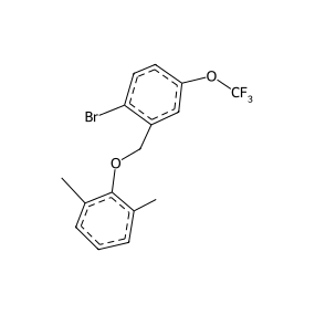 Cc1cccc(C)c1OCc1cc(OC(F)(F)F)ccc1Br